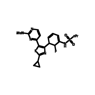 CCCS(=O)(=O)NC1=CC=CC(c2nc(C3CC3)sc2-c2ccnc(NC)n2)C1F